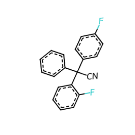 N#CC(c1ccccc1)(c1ccc(F)cc1)c1ccccc1F